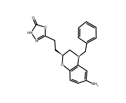 Nc1ccc2c(c1)N(Cc1ccccc1)C[C@H](CCc1n[nH]c(=O)o1)O2